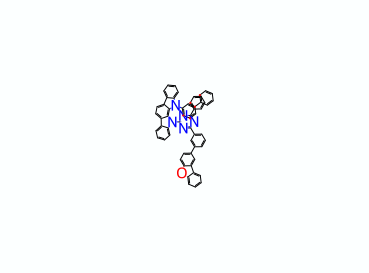 c1ccc(-c2cccc(-n3c4ccccc4c4ccc5c6ccccc6n(-c6nc(-c7ccccc7)nc(-c7cccc(-c8ccc9oc%10ccccc%10c9c8)c7)n6)c5c43)c2)cc1